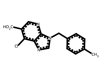 Cc1ccc(Cn2cnc3c(Cl)c(C(=O)O)cnc32)cc1